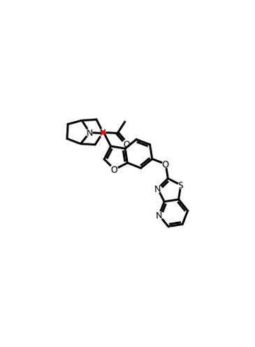 CC(=O)N1CC2CCC(C1)N2Cc1coc2cc(Oc3nc4ncccc4s3)ccc12